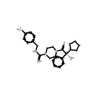 Cc1ccc(CNC(=N)N2CCN(C(=O)[C@](O)(c3ccccc3)C3CCCC3)CC2)cc1